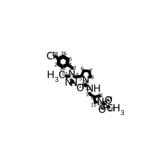 Cc1nnc(C2CCCN2C(=O)NCC2CN(S(C)(=O)=O)C2)n1Cc1ccc(Cl)cc1